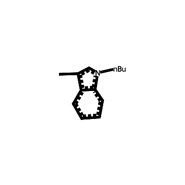 CCCCn1cc(C)c2ccccc21